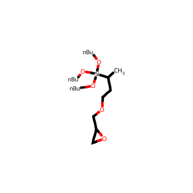 CCCCO[Si](OCCCC)(OCCCC)C(C)CCOCC1CO1